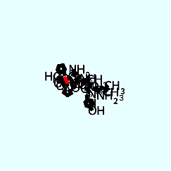 CC(C)C[C@H](N)C(=O)N[C@@H](Cc1ccc(O)cc1)C(=O)N[C@@H](C)C(=O)N[C@@H](CC(N)=O)C(=O)N[C@@H](CO)C(=O)N1CCC[C@H]1C(=O)N[C@@H](Cc1ccccc1)C(=O)O